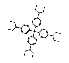 CCN(CC)c1ccc(C(c2ccc(N(CC)CC)cc2)(c2ccc(N(CC)CC)cc2)c2ccc(N(CC)CC)cc2)cc1